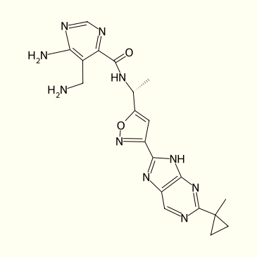 C[C@@H](NC(=O)c1ncnc(N)c1CN)c1cc(-c2nc3cnc(C4(C)CC4)nc3[nH]2)no1